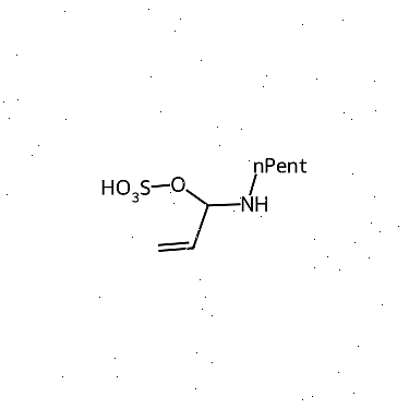 C=CC(NCCCCC)OS(=O)(=O)O